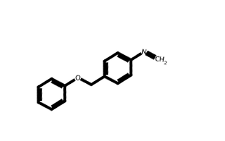 C=Nc1ccc(COc2ccccc2)cc1